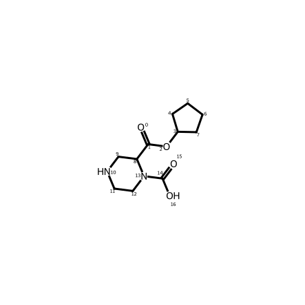 O=C(OC1CCCC1)C1CNCCN1C(=O)O